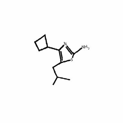 CC(C)Cc1sc(N)nc1C1CCC1